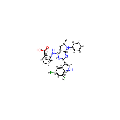 CC1Cc2c(NC3C4CCC(CC4)C3C(=O)O)nc(-c3c[nH]c4c(F)cc(F)cc34)nc2N1c1ccccc1